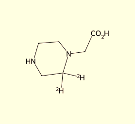 [2H]C1([2H])CNCCN1CC(=O)O